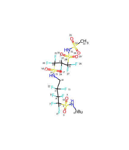 CCCCNS(=O)(=O)C(F)(F)C(F)(F)C(F)(F)CNS(=O)(=O)C(F)(F)C(F)(F)C(F)(F)S(=O)(=O)NS(C)(=O)=O